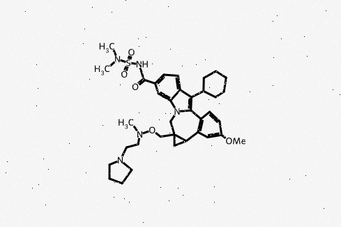 COc1ccc2c(c1)C1CC1(CON(C)CCN1CCCC1)Cn1c-2c(C2CCCCC2)c2ccc(C(=O)NS(=O)(=O)N(C)C)cc21